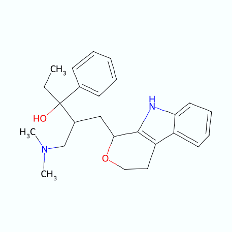 CCC(O)(c1ccccc1)C(CC1OCCc2c1[nH]c1ccccc21)CN(C)C